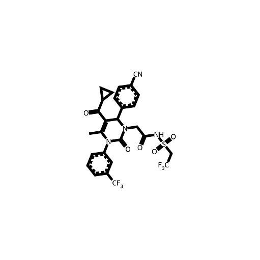 CC1=C(C(=O)C2CC2)C(c2ccc(C#N)cc2)N(CC(=O)NS(=O)(=O)CC(F)(F)F)C(=O)N1c1cccc(C(F)(F)F)c1